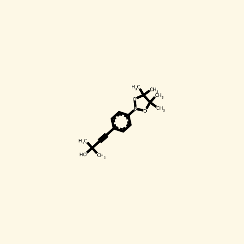 CC(C)(O)C#Cc1ccc(B2OC(C)(C)C(C)(C)O2)cc1